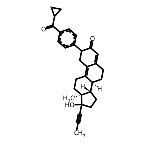 CC#CC1(O)CC[C@H]2[C@@H]3CCC4=CC(=O)C(c5ccc(C(=O)C6CC6)cc5)CC4=C3CC[C@@]21C